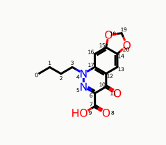 CCCCn1nc(C(=O)O)c(=O)c2cc3c(cc21)OCO3